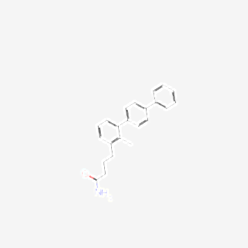 Cc1c(CCCC(N)=O)cccc1-c1ccc(-c2ccccc2)cc1